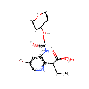 CCC(C(=O)O)c1ncc(Br)cc1NC(=O)OC1CCOCC1